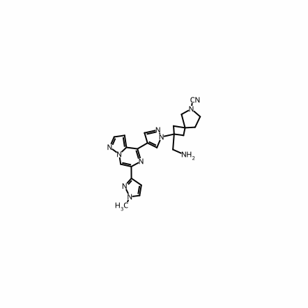 Cn1ccc(-c2cn3nccc3c(-c3cnn(C4(CN)CC5(CCN(C#N)C5)C4)c3)n2)n1